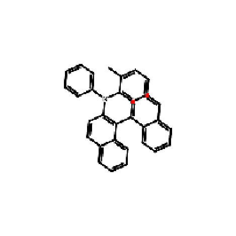 Cc1ccccc1N(c1ccccc1)c1ccc2ccccc2c1-c1cccc2ccccc12